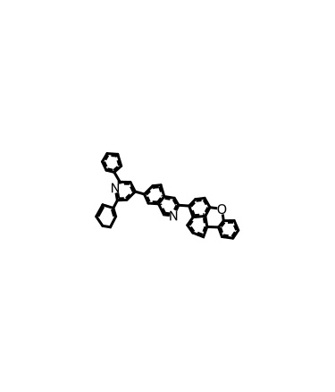 C1=CC(c2cc(-c3ccc4cc(-c5ccc6c7c(cccc57)-c5ccccc5O6)ncc4c3)cc(-c3ccccc3)n2)=CCC1